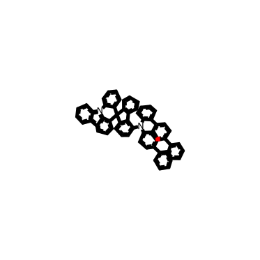 c1ccc(-c2ccc(-c3ccccc3N(c3ccc(-c4ccccc4)cc3)c3cccc4c3-c3ccccc3C43c4ccccc4-n4c5ccccc5c5cccc3c54)cc2)cc1